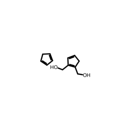 C1=CCC=C1.OCC1=C(CO)CC=C1